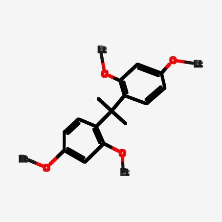 CCOc1ccc(C(C)(C)c2ccc(OCC)cc2OCC)c(OCC)c1